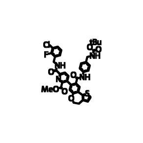 COC(=O)c1nc(C(=O)NCc2cccc(Cl)c2F)ccc1-c1cc2c(cc1C(=O)Nc1ccc(CNC(=O)OC(C)(C)C)cc1)-c1sccc1CCO2